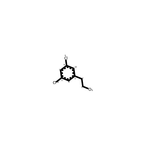 [O]CCc1cc(Cl)cc(Cl)c1